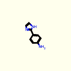 Nc1ccc(-c2nc[c][nH]2)cc1